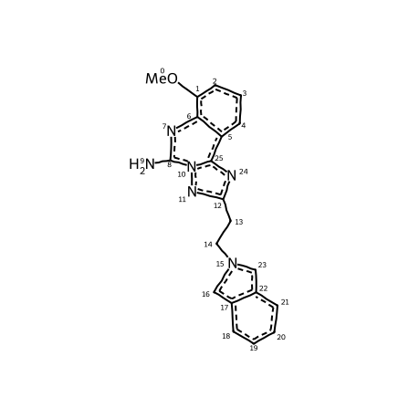 COc1cccc2c1nc(N)n1nc(CCn3cc4ccccc4c3)nc21